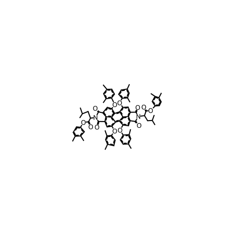 Cc1ccc(Oc2cc3c4c(cc(Oc5ccc(C)cc5C)c5c6c(Oc7ccc(C)cc7C)cc7c8c(cc(Oc9ccc(C)cc9C)c(c2c45)c86)C(=O)N(C(CC(C)C)C(=O)Oc2ccc(C)c(C)c2)C7=O)C(=O)N(C(CC(C)C)C(=O)Oc2ccc(C)c(C)c2)C3=O)c(C)c1